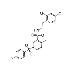 Cc1ccc(S(=O)(=O)c2ccc(F)cc2)cc1S(=O)(=O)NCCc1ccc(Cl)cc1Cl